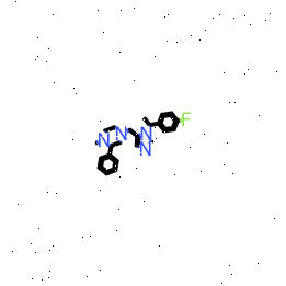 CC(c1ccc(F)cc1)n1cncc1CN1CCN(C)C(c2ccccc2)C1